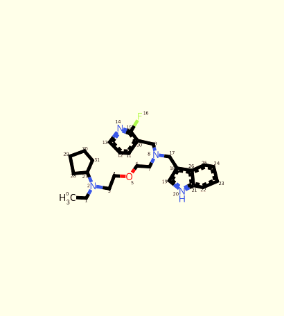 CCN(CCOCCN(Cc1cccnc1F)Cc1c[nH]c2ccccc12)C1CCCC1